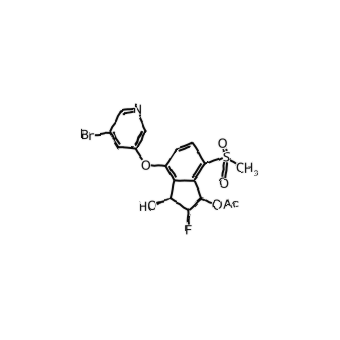 CC(=O)OC1c2c(S(C)(=O)=O)ccc(Oc3cncc(Br)c3)c2[C@H](O)C1F